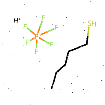 CCCCCS.F[P-](F)(F)(F)(F)F.[H+]